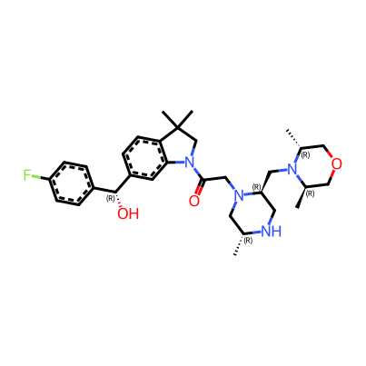 C[C@@H]1CN(CC(=O)N2CC(C)(C)c3ccc([C@H](O)c4ccc(F)cc4)cc32)[C@@H](CN2[C@H](C)COC[C@H]2C)CN1